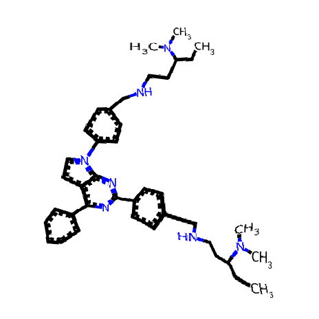 CCC(CCNCc1ccc(-c2nc(-c3ccccc3)c3ccn(-c4ccc(CNCCC(CC)N(C)C)cc4)c3n2)cc1)N(C)C